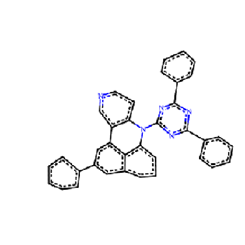 c1ccc(-c2cc3c4c(cccc4c2)N(c2nc(-c4ccccc4)nc(-c4ccccc4)n2)c2ccncc2-3)cc1